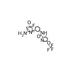 COC[C@]12CC1[C@@](C)(c1cc(NC(=O)c3ncc(OCC(F)(F)F)cc3C)ccc1F)N=C(N)S2